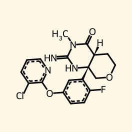 CN1C(=N)N[C@@]2(c3cc(Oc4ncccc4Cl)ccc3F)COCC[C@H]2C1=O